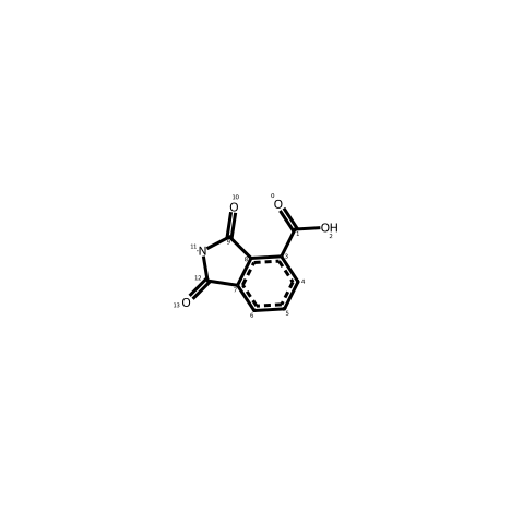 O=C(O)c1cccc2c1C(=O)[N]C2=O